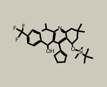 CC(C)c1nc2c(c(C3=CCCC3)c1C(O)c1ccc(C(F)(F)F)cc1)[C@H](O[Si](C)(C)C(C)(C)C)CC(C)(C)C2